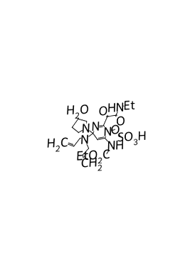 C=CCN(CC=C)C1(N2CCCC2)C=C(NC(=O)OCC)N(OS(=O)(=O)O)C(C(=O)C(=O)NCC)=N1.O